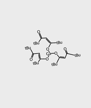 CC(C)(C)C(=O)C=C([O][Ga]([O]C(=CC(=O)C(C)(C)C)C(C)(C)C)[O]C(=CC(=O)C(C)(C)C)C(C)(C)C)C(C)(C)C